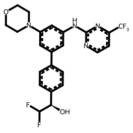 O[C@H](c1ccc(-c2cc(Nc3nccc(C(F)(F)F)n3)cc(N3CCOCC3)c2)cc1)C(F)F